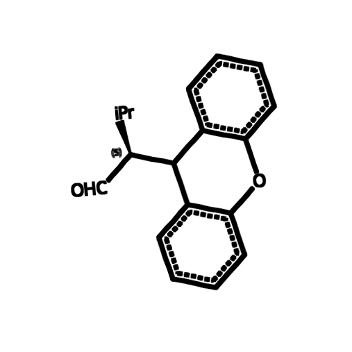 CC(C)[C@H](C=O)C1c2ccccc2Oc2ccccc21